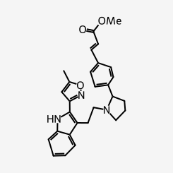 COC(=O)C=Cc1ccc(C2CCCN2CCc2c(-c3cc(C)on3)[nH]c3ccccc23)cc1